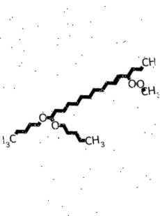 CCCCCOC(CCCCCCCCCC=CC(CCC)OOC)OCCCCC